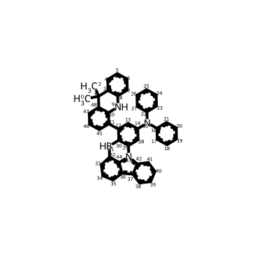 CC1(C)c2ccccc2Nc2c(-c3cc(N(c4ccccc4)c4ccccc4)cc4c3Bc3cccc5c6ccccc6n-4c35)cccc21